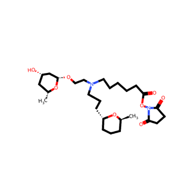 C[C@@H]1C[C@H](O)C[C@H](OCCN(CCCCCC(=O)ON2C(=O)CCC2=O)CCC[C@H]2CCC[C@H](C)O2)O1